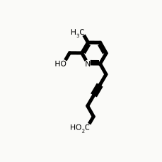 Cc1ccc(CC#CCCC(=O)O)nc1CO